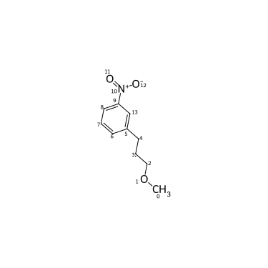 COC[CH]Cc1cccc([N+](=O)[O-])c1